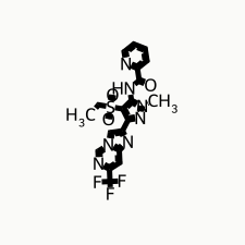 CCS(=O)(=O)c1c(-c2cn3cnc(C(F)(F)F)cc3n2)nn(C)c1NC(=O)c1ccccn1